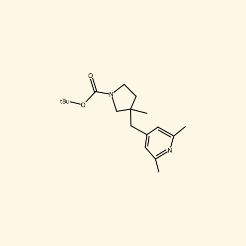 Cc1cc(CC2(C)CCN(C(=O)OC(C)(C)C)C2)cc(C)n1